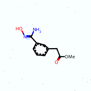 COC(=O)Cc1cccc(/C(N)=N/O)c1